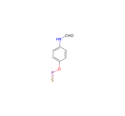 O=CNc1ccc(OP=S)cc1